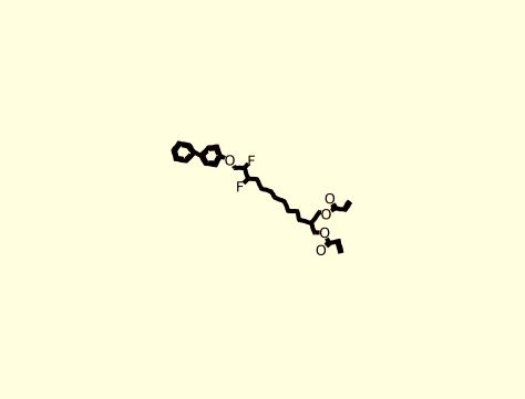 C=CC(=O)OCC(CCCCCCCCC(F)C(F)COc1ccc(-c2ccccc2)cc1)COC(=O)C=C